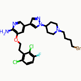 Nc1ncc(-c2cnn(C3CCN(CCCCBr)CC3)c2)cc1OCCc1c(Cl)ccc(F)c1Cl